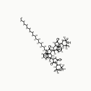 CCCCCCCCCCCCCCCCCCN1C(=O)C(CC(C)(c2ccccc2)C2CC(=O)N(C3CC(C)(C)NC(C)(C)C3)C2=O)C(C(C)(CC2CC(=O)N(C3CC(C)(C)NC(C)(C)C3)C2=O)c2ccccc2)C1=O